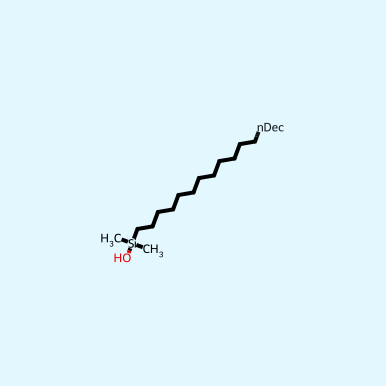 CCCCCCCCCCCCCCCCCCCCCC[Si](C)(C)O